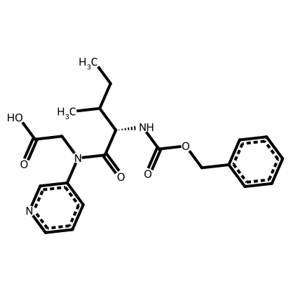 CCC(C)[C@H](NC(=O)OCc1ccccc1)C(=O)N(CC(=O)O)c1cccnc1